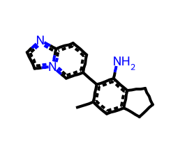 Cc1cc2c(c(N)c1-c1ccc3nccn3c1)CCC2